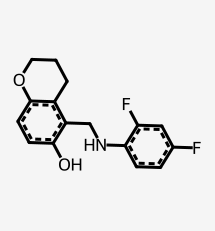 Oc1ccc2c(c1CNc1ccc(F)cc1F)CCCO2